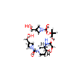 CC(C)(C)OC(=O)N1CC(CO)C1.O=C1CO[C@H]2CCN(C(=O)N3CC(CO)C3)C[C@H]2N1